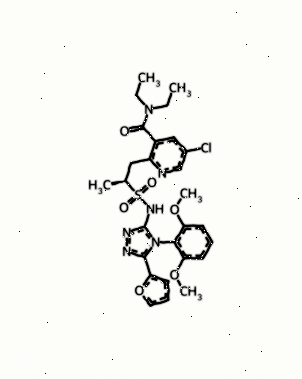 CCN(CC)C(=O)c1cc(Cl)cnc1C[C@H](C)S(=O)(=O)Nc1nnc(-c2ccco2)n1-c1c(OC)cccc1OC